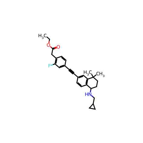 CCOC(=O)Cc1ccc(C#Cc2ccc3c(c2)C(C)(C)CCC3NCC2CC2)cc1F